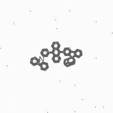 c1cc(-c2c3ccccc3c(-c3ccc4c(c3)C3(c5ccccc5-4)C4CC5CC(C4)CC3C5)c3ccccc23)cc(-n2c3ccccc3c3ccccc32)c1